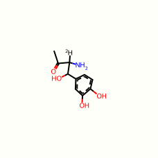 [2H]C(N)(C(C)=O)C(O)c1ccc(O)c(O)c1